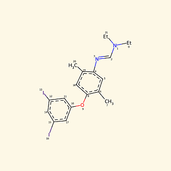 CCN(C=Nc1cc(C)c(Oc2cc(I)cc(I)c2)cc1C)CC